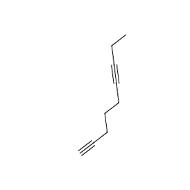 C#CCCCC#CCC